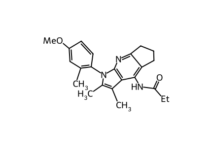 CCC(=O)Nc1c2c(nc3c1c(C)c(C)n3-c1ccc(OC)cc1C)CCC2